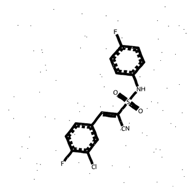 N#C/C(=C\c1ccc(F)c(Cl)c1)S(=O)(=O)Nc1ccc(F)cc1